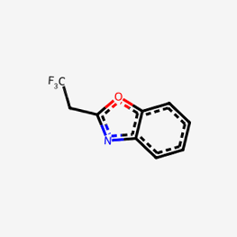 FC(F)(F)Cc1nc2ccccc2o1